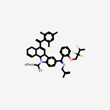 C=C(C)C/N=C(\c1ccc2c(c1)C1C=C(C(=C)c3c(C)cc(C)cc3C)C3CCC=CC3C1N2C(CC)CCCCC)c1ccccc1OCC(F)(F)C(C)F